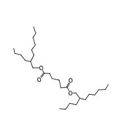 CCCCCCC(CCCC)COC(=O)CCCCC(=O)OCC(CCCC)CCCCCC